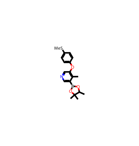 CSc1ccc(Oc2cncc(B3OC(C)C(C)(C)O3)c2C)cc1